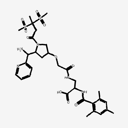 Cc1cc(C)c(C(=O)NC(CNC(=O)COC2CC(C(N)c3ccccn3)N(C(=O)CC(C)(S(C)(=O)=O)S(C)(=O)=O)C2)C(=O)O)c(C)c1